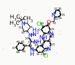 CC(C)(C)N1CCC(N(N)/C=C(\N)[C@@H](Nc2cc(Cl)c3ncc(C#N)c(Nc4ccc(OCc5ccccn5)c(Cl)c4)c3c2)c2ccccc2)CC1